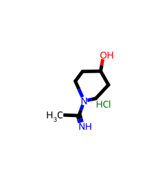 CC(=N)N1CCC(O)CC1.Cl